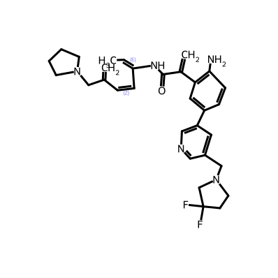 C=C(/C=C\C(=C/C)NC(=O)C(=C)c1cc(-c2cncc(CN3CCC(F)(F)C3)c2)ccc1N)CN1CCCC1